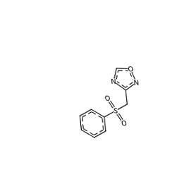 O=S(=O)(Cc1ncon1)c1ccccc1